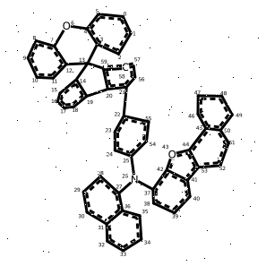 c1ccc2c(c1)Oc1ccccc1C21c2ccccc2-c2c(-c3ccc(N(c4cccc5ccccc45)c4cccc5c4oc4c6ccccc6ccc54)cc3)cccc21